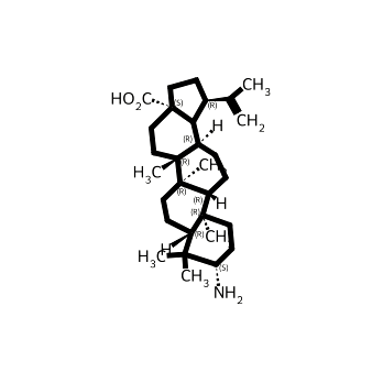 C=C(C)[C@@H]1CC[C@]2(C(=O)O)CC[C@]3(C)[C@H](CC[C@@H]4[C@@]5(C)CC[C@H](N)C(C)(C)[C@@H]5CC[C@]43C)C12